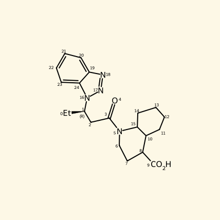 CC[C@H](CC(=O)N1CCC(C(=O)O)C2CCCCC21)n1nnc2ccccc21